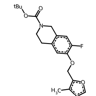 Cc1ncoc1COc1cc2c(cc1F)CN(C(=O)OC(C)(C)C)CC2